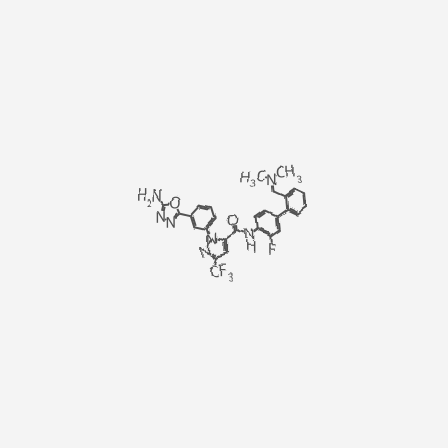 CN(C)Cc1ccccc1-c1ccc(NC(=O)c2cc(C(F)(F)F)nn2-c2cccc(-c3nnc(N)o3)c2)c(F)c1